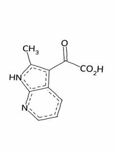 Cc1[nH]c2ncccc2c1C(=O)C(=O)O